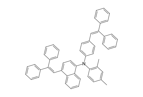 Cc1ccc(N(c2ccc(C=C(c3ccccc3)c3ccccc3)cc2)c2ccc(C=C(c3ccccc3)c3ccccc3)c3ccccc23)c(C)c1